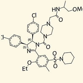 CCOc1cc(C)c(S(=O)(=O)N2CCCCC2)cc1C1=N[C@@H](c2ccc(Cl)cc2)[C@@H](c2ccc(Cl)cc2)N1C(=O)N1CCN(CC(=O)NC(C)COC)CC1